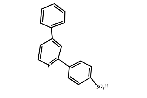 O=S(=O)(O)c1ccc(-c2cc(-c3ccccc3)ccp2)cc1